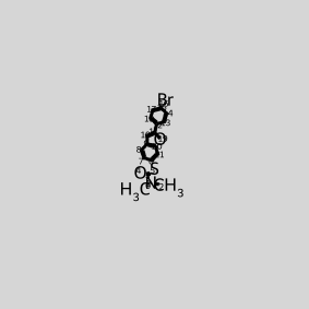 CN(C)C(=O)Sc1ccc2cc(-c3ccc(Br)cc3)oc2c1